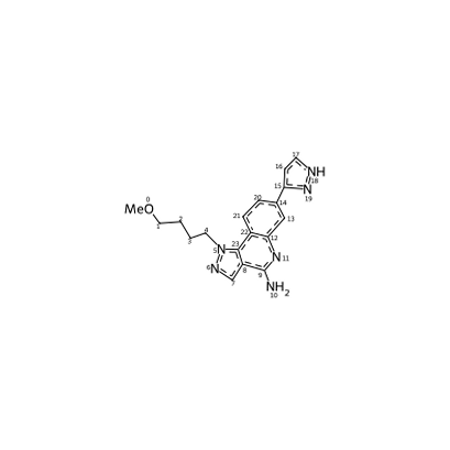 COCCCCn1ncc2c(N)nc3cc(-c4cc[nH]n4)ccc3c21